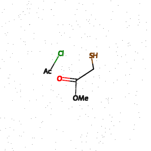 CC(=O)Cl.COC(=O)CS